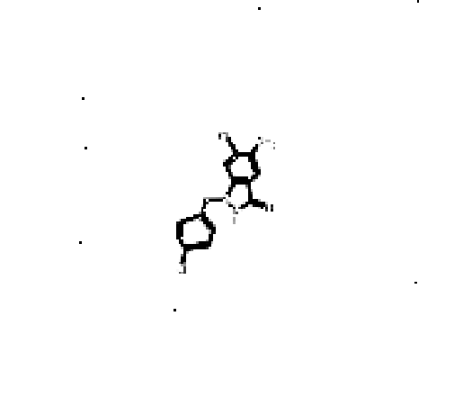 Nc1cc2c(=O)[nH]n(Cc3ccc(Cl)cc3)c2cc1Cl